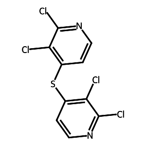 Clc1nccc(Sc2ccnc(Cl)c2Cl)c1Cl